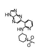 CS(=O)(=O)N1CCC[C@H](Nc2ncccc2-c2cnc3[nH]cnc3n2)C1